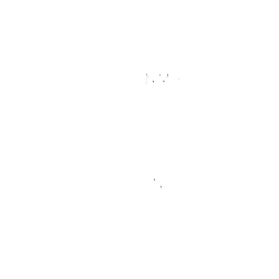 C=[N+](C)C1CC(C)(CCCNC)C1